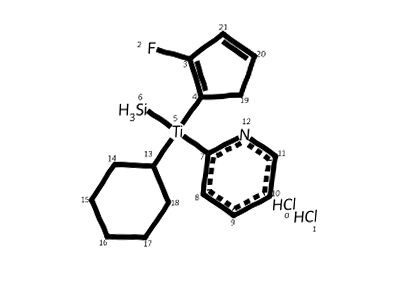 Cl.Cl.FC1=[C]([Ti]([SiH3])([c]2ccccn2)[CH]2CCCCC2)CC=C1